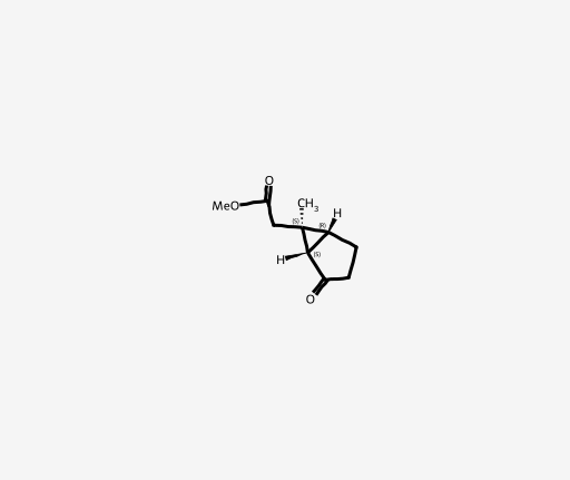 COC(=O)C[C@@]1(C)[C@@H]2CCC(=O)[C@@H]21